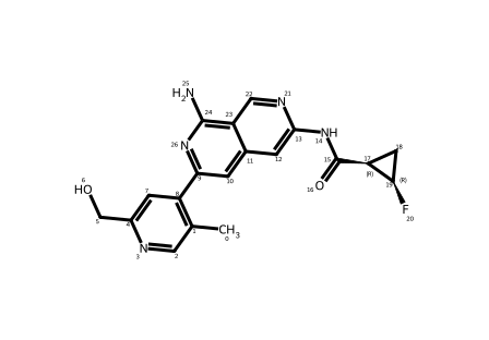 Cc1cnc(CO)cc1-c1cc2cc(NC(=O)[C@H]3C[C@H]3F)ncc2c(N)n1